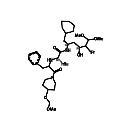 CCCC[C@H](NC(Cc1ccccc1)C(=O)N1CCC(OCOC)CC1)C(=O)N[C@@H](CC1CCCCC1)C[C@H](O)C(C(C)C)C(OC)OC